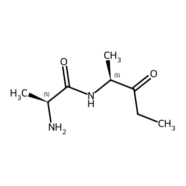 CCC(=O)[C@H](C)NC(=O)[C@H](C)N